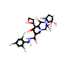 C[C@@H](NC(=O)c1cn2c(c(C3CCO3)c1=O)C(=O)N1[C@@H]3CC[C@H](C3)O[C@@H]1C2)c1c(F)cc(F)cc1F